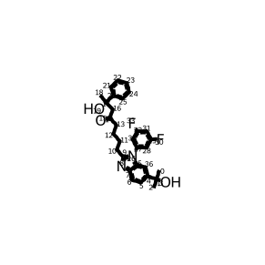 CC(C)(O)c1ccc2nc(CCCCC(=O)CC(C)(O)c3ccccc3)n(-c3cc(F)cc(F)c3)c2c1